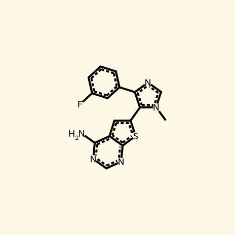 Cn1cnc(-c2cccc(F)c2)c1-c1cc2c(N)ncnc2s1